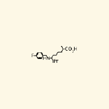 CC(CCCCC(NCc1ccc(F)cc1)C(C)C)C(=O)O